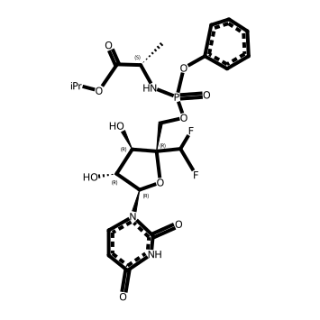 CC(C)OC(=O)[C@H](C)NP(=O)(OC[C@@]1(C(F)F)O[C@@H](n2ccc(=O)[nH]c2=O)[C@H](O)[C@H]1O)Oc1ccccc1